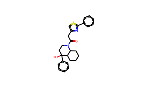 O=C(Cc1csc(-c2ccccc2)n1)N1CCC(O)(c2ccccc2)C2CCCCC21